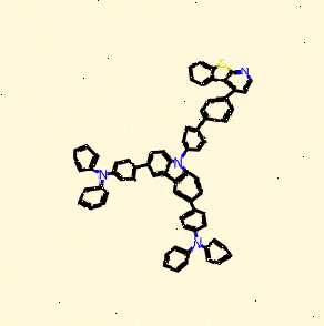 c1ccc(N(c2ccccc2)c2ccc(-c3ccc4c(c3)c3cc(-c5ccc(N(c6ccccc6)c6ccccc6)cc5)ccc3n4-c3ccc(-c4ccc(-c5ccnc6sc7ccccc7c56)cc4)cc3)cc2)cc1